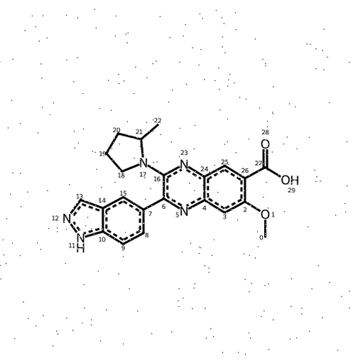 COc1cc2nc(-c3ccc4[nH]ncc4c3)c(N3CCCC3C)nc2cc1C(=O)O